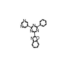 c1ccc(-c2nc(-c3cncnc3)nc(-c3nc4ccccc4o3)n2)cc1